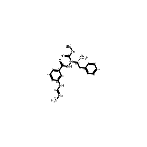 CC(C)(C)OC(=O)N(NC(=O)c1cccc(NC=NN)c1)[C@@H](Cc1ccccc1)C(=O)O